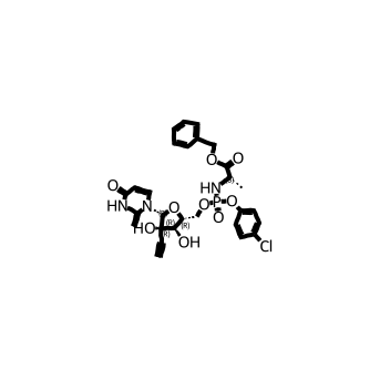 C#C[C@@]1(O)[C@H](O)[C@@H](COP(=O)(N[C@@H](C)C(=O)OCc2ccccc2)Oc2ccc(Cl)cc2)O[C@H]1N1C=CC(=O)NC1=C